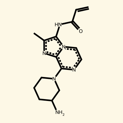 C=CC(=O)Nc1c(C)nc2c(N3CCCC(N)C3)nccn12